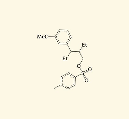 CCC(COS(=O)(=O)c1ccc(C)cc1)C(CC)c1cccc(OC)c1